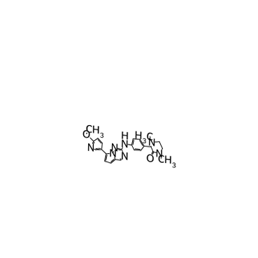 COc1ccc(-c2ccc3cnc(Nc4ccc(C5C(=O)N(C)CCN5C)cc4)nn23)cn1